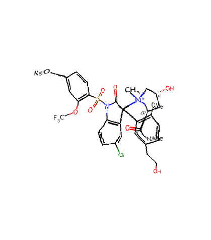 CNC(=O)[C@@H]1C[C@@H](O)C[N+]1(C)C1(c2cc(CCO)ccc2OC)C(=O)N(S(=O)(=O)c2ccc(OC)cc2OC(F)(F)F)c2ccc(Cl)cc21